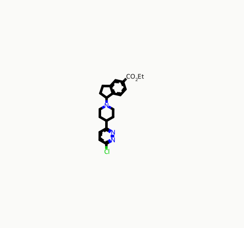 CCOC(=O)c1ccc2c(c1)CCC2N1CCC(c2ccc(Cl)nn2)CC1